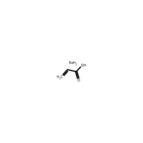 C=CC(=O)O.[RaH2]